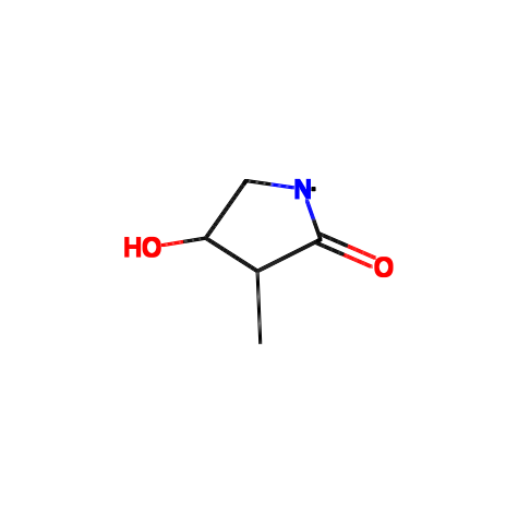 CC1C(=O)[N]CC1O